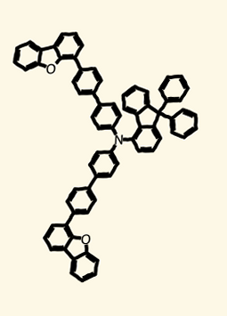 c1ccc(C2(c3ccccc3)c3ccccc3-c3c(N(c4ccc(-c5ccc(-c6cccc7c6oc6ccccc67)cc5)cc4)c4ccc(-c5ccc(-c6cccc7c6oc6ccccc67)cc5)cc4)cccc32)cc1